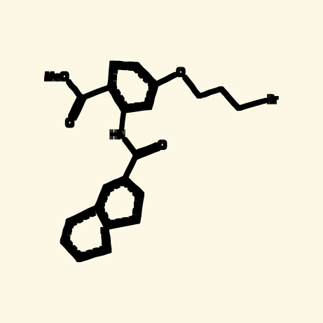 COC(=O)c1ccc(OCCCBr)cc1NC(=O)c1ccc2ccccc2c1